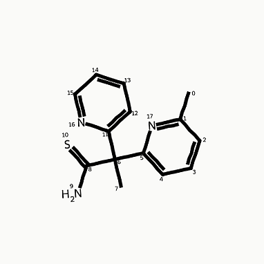 Cc1cccc(C(C)(C(N)=S)c2ccccn2)n1